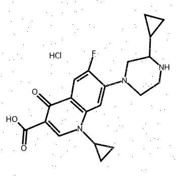 Cl.O=C(O)c1cn(C2CC2)c2cc(N3CCNC(C4CC4)C3)c(F)cc2c1=O